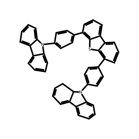 C1=CCC2C(=C1)c1ccccc1N2c1ccc(-c2cccc3c2sc2c(-c4ccc(-n5c6ccccc6c6ccccc65)cc4)cccc23)cc1